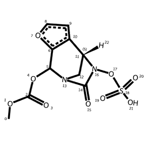 COC(=O)OC1c2occc2[C@H]2CN1C(=O)N2OS(=O)(=O)O